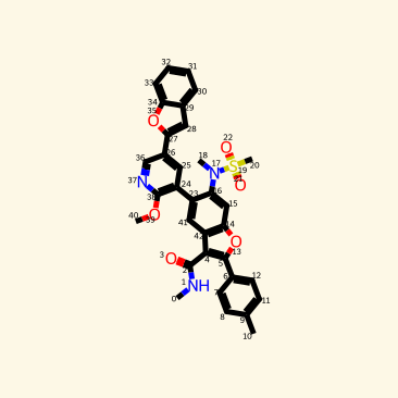 CNC(=O)c1c(-c2ccc(C)cc2)oc2cc(N(C)S(C)(=O)=O)c(-c3cc(-c4cc5ccccc5o4)cnc3OC)cc12